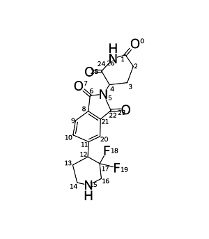 O=C1CCC(N2C(=O)c3ccc(C4CCNCC4(F)F)cc3C2=O)C(=O)N1